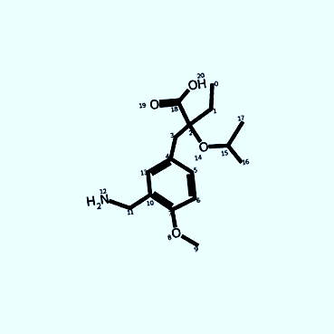 CCC(Cc1ccc(OC)c(CN)c1)(OC(C)C)C(=O)O